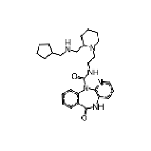 O=C1Nc2cccnc2N(C(=O)NCCN2CCCCC2CNCC2CCCC2)c2ccccc21